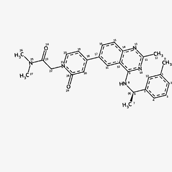 Cc1cccc([C@@H](C)Nc2nc(C)nc3ccc(-c4ccn(CC(=O)N(C)C)c(=O)c4)cc23)c1